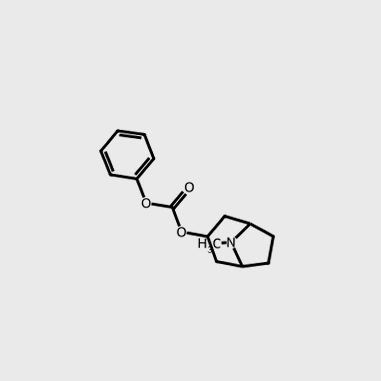 CN1C2CCC1CC(OC(=O)Oc1ccccc1)C2